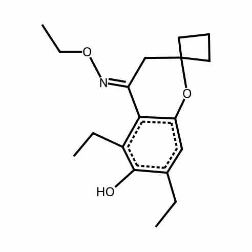 CCO/N=C1\CC2(CCC2)Oc2cc(CC)c(O)c(CC)c21